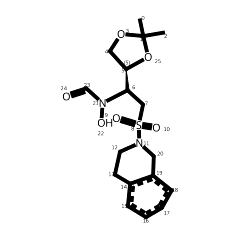 CC1(C)OC[C@H](C(CS(=O)(=O)N2CCc3ccccc3C2)N(O)C=O)O1